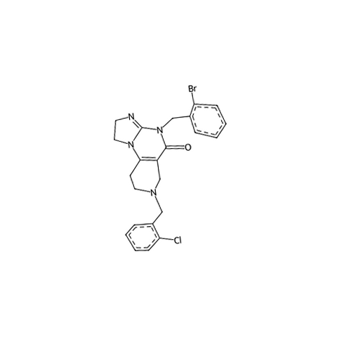 O=C1C2=C(CCN(Cc3ccccc3Cl)C2)N2CCN=C2N1Cc1ccccc1Br